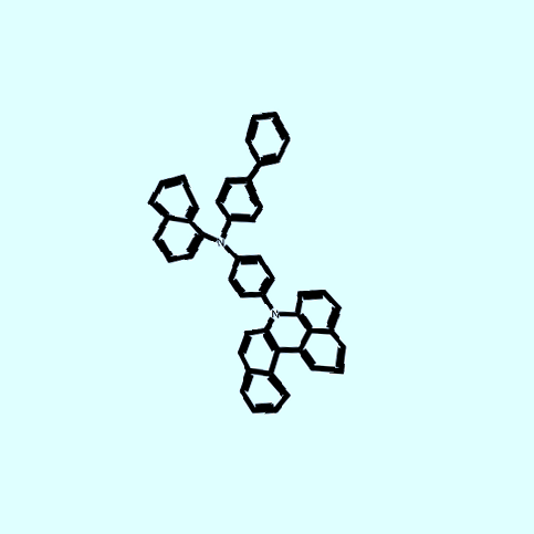 c1ccc(-c2ccc(N(c3ccc(N4c5ccc6ccccc6c5-c5cccc6cccc4c56)cc3)c3cccc4ccccc34)cc2)cc1